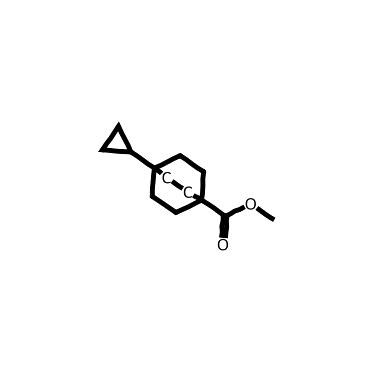 COC(=O)C12CCC(C3CC3)(CC1)CC2